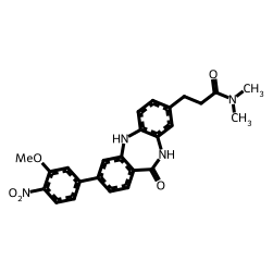 COc1cc(-c2ccc3c(c2)Nc2ccc(CCC(=O)N(C)C)cc2NC3=O)ccc1[N+](=O)[O-]